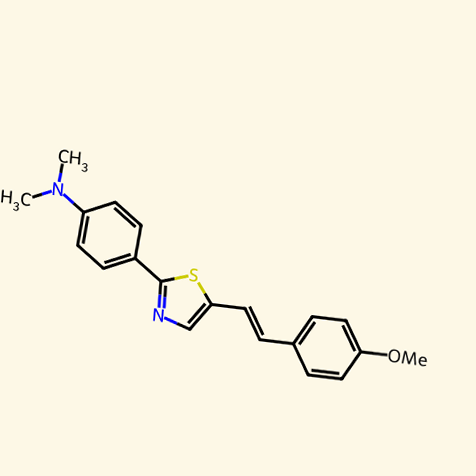 COc1ccc(C=Cc2cnc(-c3ccc(N(C)C)cc3)s2)cc1